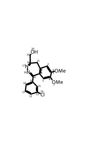 COc1cc2c(cc1OC)C(c1cccc(Cl)c1)=NN=C(CO)C2